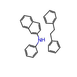 c1ccc(CCc2ccccc2)cc1.c1ccc(Nc2ccc3ccccc3c2)cc1